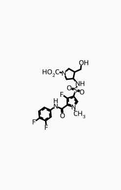 Cn1cc(S(=O)(=O)NC2CN(C(=O)O)CC2CO)c(F)c1C(=O)Nc1ccc(F)c(F)c1